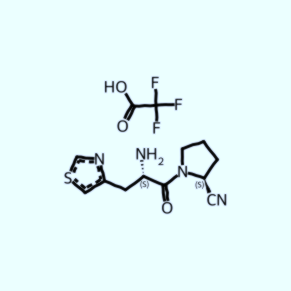 N#C[C@@H]1CCCN1C(=O)[C@@H](N)Cc1cscn1.O=C(O)C(F)(F)F